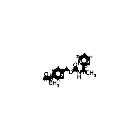 CC(NC(=O)OCc1ccc(C2(C)CO2)cn1)c1ncccn1